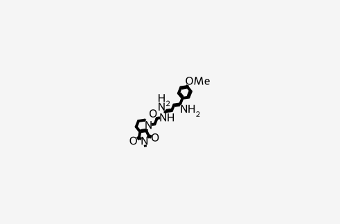 COc1ccc(/C(N)=C/C=C(\N)NC(=O)CN2CCCC3=C2C(=O)N(C)C3=O)cc1